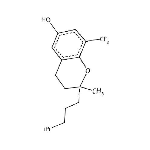 CC(C)CCCC1(C)CCc2cc(O)cc(C(F)(F)F)c2O1